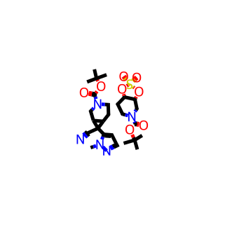 CC(C)(C)OC(=O)N1CCC2OS(=O)(=O)OC2C1.Cn1nccc1C1(C#N)C2CCN(C(=O)OC(C)(C)C)CC21